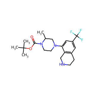 CC1CN(c2cc(C(F)(F)F)cc3c2CNCC3)CCN1C(=O)OC(C)(C)C